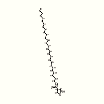 CCCCCCCCCCCCCCCCCCCCCCCCCCCCOC(=O)C1CCNC1